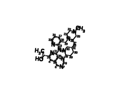 C[C@@H](O)c1cc2cncnc2c(N(c2ncccc2CN2CCN(C)CC2)N2CCCC(F)C2)n1